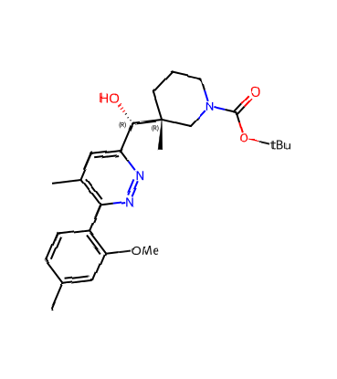 COc1cc(C)ccc1-c1nnc([C@H](O)[C@]2(C)CCCN(C(=O)OC(C)(C)C)C2)cc1C